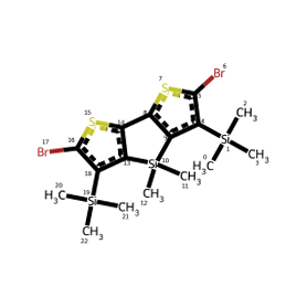 C[Si](C)(C)c1c(Br)sc2c1[Si](C)(C)c1c-2sc(Br)c1[Si](C)(C)C